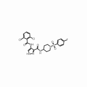 O=C(NC1CCN(S(=O)(=O)c2ccc(F)cc2)CC1)c1n[nH]cc1NC(=O)c1c(Cl)cccc1Cl